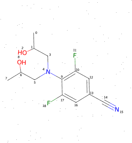 CC(O)CN(CC(C)O)c1c(F)cc(C#N)cc1F